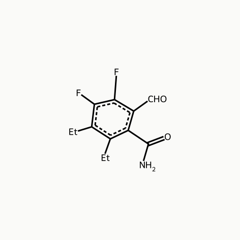 CCc1c(F)c(F)c(C=O)c(C(N)=O)c1CC